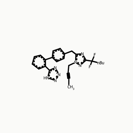 CC#CCn1nc(C(F)(F)CCCC)nc1Cc1ccc(-c2ccccc2-c2nnn[nH]2)cc1